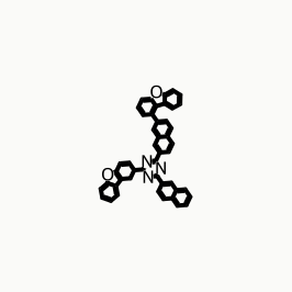 C1=CC(c2nc(-c3ccc4ccccc4c3)nc(-c3ccc4ccc(-c5cccc6oc7ccccc7c56)cc4c3)n2)Cc2c1oc1ccccc21